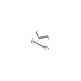 C=CC.[NH2][Fe]